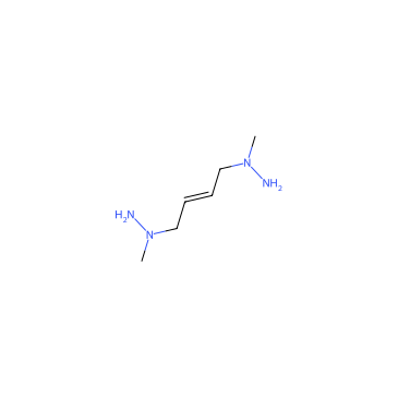 CN(N)C/C=C/CN(C)N